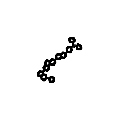 c1ccc(-c2ccc3cccc(-c4ccc5c(ccc6cc(-c7ccc8cc(-c9ccc(N(c%10ccccc%10)c%10ccccc%10)cc9)ccc8c7)ccc65)c4)c3c2)cc1